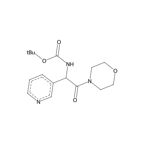 CC(C)(C)OC(=O)NC(C(=O)N1CCOCC1)c1cccnc1